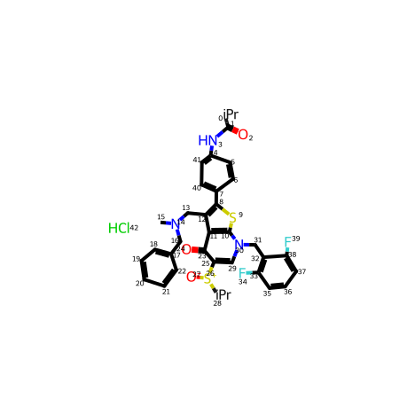 CC(C)C(=O)Nc1ccc(-c2sc3c(c2CN(C)Cc2ccccc2)c(=O)c([S+]([O-])C(C)C)cn3Cc2c(F)cccc2F)cc1.Cl